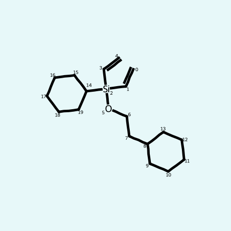 C=C[Si](C=C)(OCCC1CCCCC1)C1CCCCC1